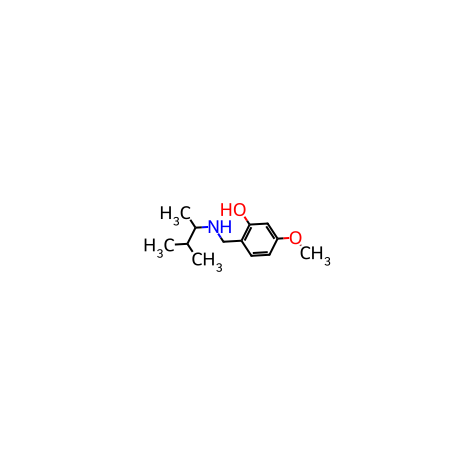 COc1ccc(CNC(C)C(C)C)c(O)c1